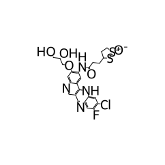 N#Cc1cnc2cc(OCC(O)CO)c(NC(=O)CCC3CC[S+]([O-])S3)cc2c1Nc1ccc(F)c(Cl)c1